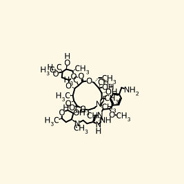 CC[C@H]1OC(=O)[C@H](C)[C@@H](O[C@H]2C[C@@](C)(OC)[C@@H](O)[C@H](C)O2)[C@H](C)[C@@H](O[C@@H]2O[C@H](C)C[C@H](N(C)CCC3=CN([C@H](CF)[C@H](OC)c4ccc(CN)cc4)NN3)[C@H]2O)[C@](C)(O)C[C@@H](C)CN(C)[C@H](C)[C@@H](O)[C@]1(C)O